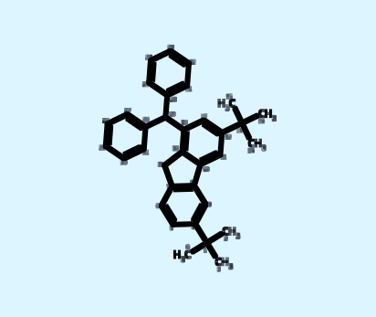 CC(C)(C)c1ccc2c(c1)-c1cc(C(C)(C)C)cc(C(c3ccccc3)c3ccccc3)c1C2